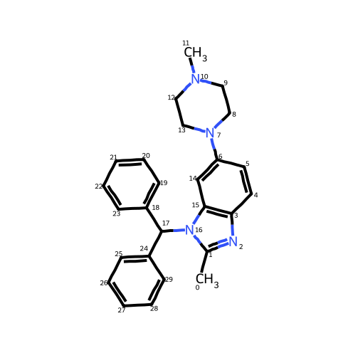 Cc1nc2ccc(N3CCN(C)CC3)cc2n1C(c1ccccc1)c1ccccc1